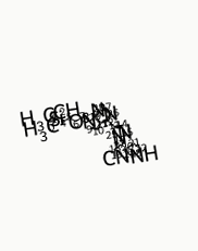 C[Si](C)(C)CCOCn1ccc2c(-c3cnn(C(CC#N)[C@H]4CCNC4)c3)ncnc21